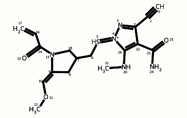 C#CC1=N/[N+](=[SH]/CC2C/C(=C\OC)N(C(=O)C=C)C2)C(NC)=C1C(N)=O